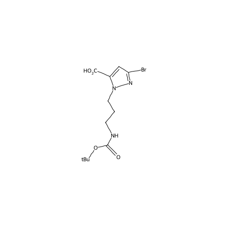 CC(C)(C)OC(=O)NCCCn1nc(Br)cc1C(=O)O